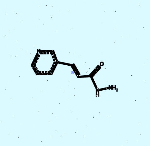 NNC(=O)/C=C/c1cccnc1